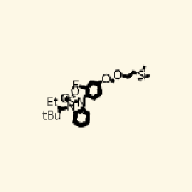 [CH2]CC(N1c2ccccc2N(c2ccc(OCOCC[Si](C)(C)C)cc2F)S1(=O)=O)C(C)(C)C